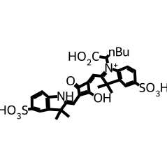 CCCCC(C(=O)O)[N+]1=C(C=C2C(=O)C(C=C3Nc4ccc(S(=O)(=O)O)cc4C3(C)C)=C2O)C(C)(C)c2cc(S(=O)(=O)O)ccc21